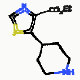 CCOC(=O)c1ncsc1C1CCNCC1